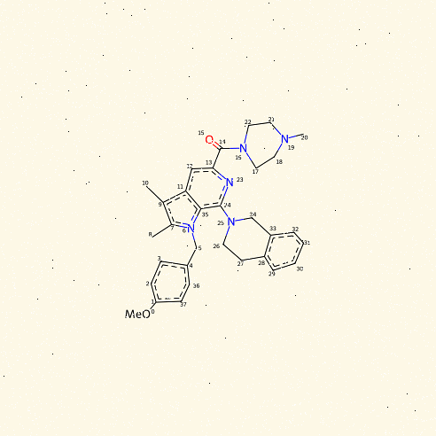 COc1ccc(Cn2c(C)c(C)c3cc(C(=O)N4CCN(C)CC4)nc(N4CCc5ccccc5C4)c32)cc1